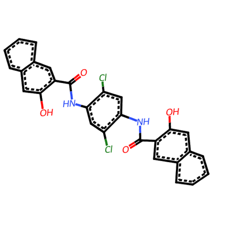 O=C(Nc1cc(Cl)c(NC(=O)c2cc3ccccc3cc2O)cc1Cl)c1cc2ccccc2cc1O